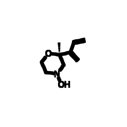 C=CC(=C)[C@@]1(C)CN(O)CCO1